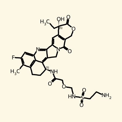 CC[C@@]1(O)C(=O)OCc2c1cc1n(c2=O)Cc2c-1nc1cc(F)c(C)c3c1c2[C@@H](NC(=O)COCNS(=O)(=O)CCN)CC3